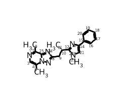 Cc1ncc(C)n2nc(C[C@H](C)c3nc(-c4ccccc4)cn3C)nc12